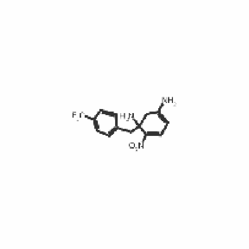 NC1=CC=C([N+](=O)[O-])C(N)(Cc2ccc(C(F)(F)F)cc2)C1